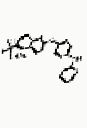 CC(=O)NC(C)(I)c1ccc2nc(Oc3ccc(Nc4ccccn4)cc3)ccc2c1